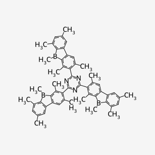 CB1c2c(C)cc(C)cc2-c2cc(C)c(-c3nc(-c4c(C)cc5c(c4C)B(C)c4c(C)cc(C)cc4-5)nc(-c4c(C)cc5c(c4C)B(C)c4c(C)cc(C)cc4-5)n3)c(C)c21